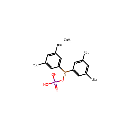 CC(C)(C)c1cc([SH](OP(=O)(O)O)c2cc(C(C)(C)C)cc(C(C)(C)C)c2)cc(C(C)(C)C)c1.[CaH2]